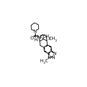 Cn1nnc2cc3c(cc21)C[C@H]1N(C(=O)N2CCCCC2)CC[C@]3(C)C1(C)C